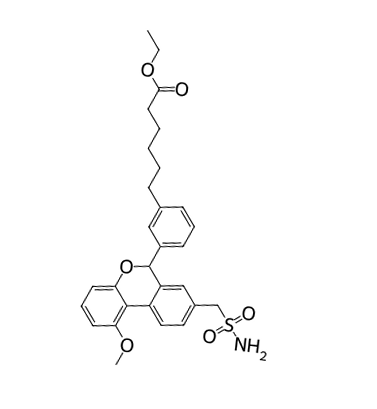 CCOC(=O)CCCCCc1cccc(C2Oc3cccc(OC)c3-c3ccc(CS(N)(=O)=O)cc32)c1